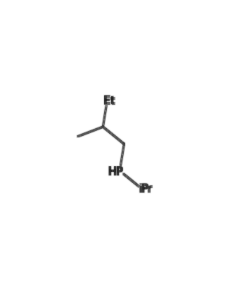 CCC(C)CPC(C)C